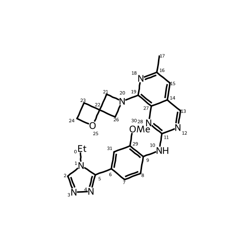 CCn1cnnc1-c1ccc(Nc2ncc3cc(C)nc(N4CC5(CCO5)C4)c3n2)c(OC)c1